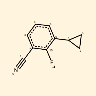 N#Cc1cccc(C2CC2)c1F